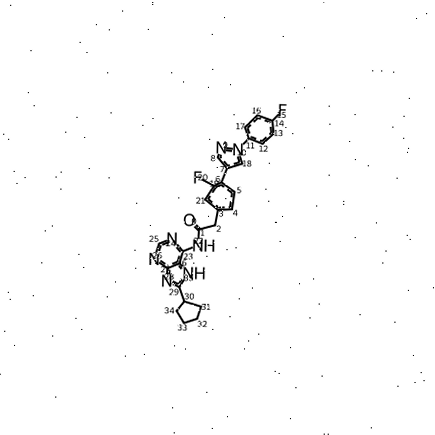 O=C(Cc1ccc(-c2cnn(-c3ccc(F)cc3)c2)c(F)c1)Nc1ncnc2nc(C3CCCC3)[nH]c12